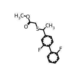 COC(=O)CSC(C)c1ccc(-c2ccccc2F)c(F)c1